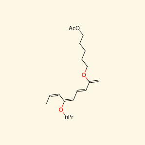 C=C(/C=C/C=C(\C=C/C)OCCC)OCCCCCOC(C)=O